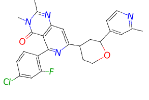 Cc1cc(C2CC(c3cc4nc(C)n(C)c(=O)c4c(-c4ccc(Cl)cc4F)n3)CCO2)ccn1